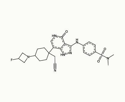 CN(C)S(=O)(=O)c1ccc(Nc2n[nH]c3c(C4(CC#N)CCC(N5CC(F)C5)CC4)c[nH]c(=O)c23)cc1